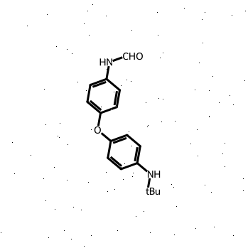 CC(C)(C)Nc1ccc(Oc2ccc(NC=O)cc2)cc1